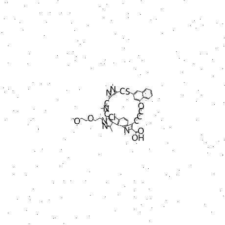 COCCOCCn1nc(C)c2c1CN(C)Cc1cc(n(C)n1)CSc1cc(c3ccccc3c1)OCCCc1c(C(=O)O)n(C)c3c-2c(Cl)ccc13